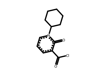 O=C(Cl)c1cccn(C2CCCCC2)c1=O